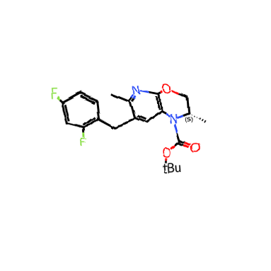 Cc1nc2c(cc1Cc1ccc(F)cc1F)N(C(=O)OC(C)(C)C)[C@@H](C)CO2